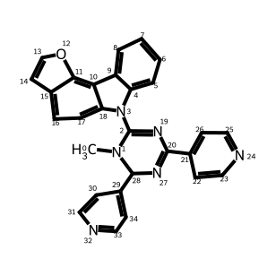 CN1C(n2c3ccccc3c3c4occc4ccc32)=NC(c2ccncc2)=NC1c1ccncc1